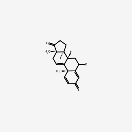 C[C@]12C=CC(=O)C=C1C(F)C[C@@H]1C2=CC[C@]2(C)C(=O)CC[C@@H]12